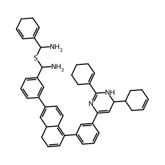 NC(SC(N)c1cccc(C2=CC3CC=CC(c4cccc(C5=CC(C6CC=CCC6)NC(C6=CCCCC6)=N5)c4)=C3C=C2)c1)C1=CCCC=C1